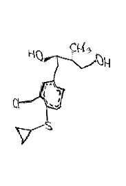 C[C@H](CO)[C@H](O)c1ccc(SC2CC2)c(Cl)c1